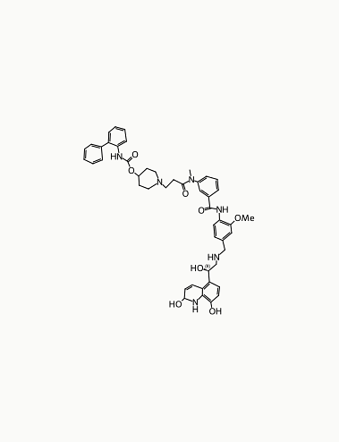 COc1cc(CNC[C@H](O)c2ccc(O)c3c2C=CC(O)N3)ccc1NC(=O)c1cccc(N(C)C(=O)CCN2CCC(OC(=O)Nc3ccccc3-c3ccccc3)CC2)c1